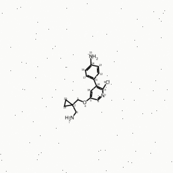 NCC1(COc2cnc(Cl)c(-c3ccc(N)cc3)c2)CC1